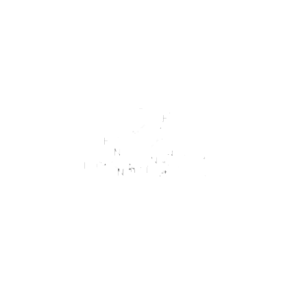 CCCCN(c1cc(F)c(F)cc1-c1nnc(C)n1CC)S(=O)(=O)c1ccccc1